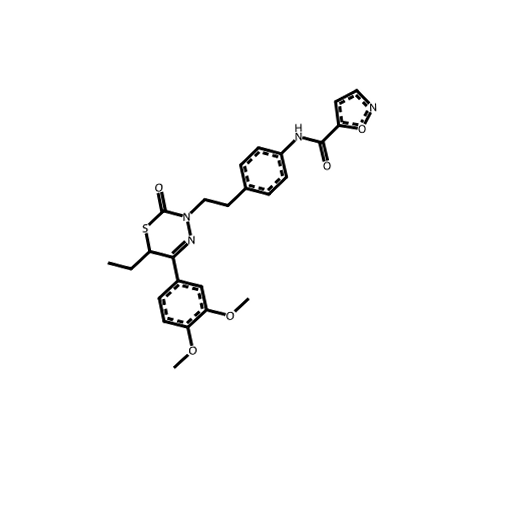 CCC1SC(=O)N(CCc2ccc(NC(=O)c3ccno3)cc2)N=C1c1ccc(OC)c(OC)c1